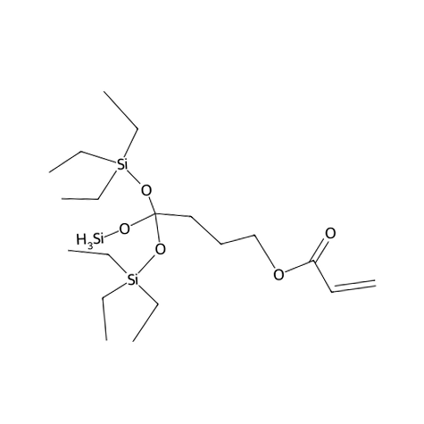 C=CC(=O)OCCCC(O[SiH3])(O[Si](CC)(CC)CC)O[Si](CC)(CC)CC